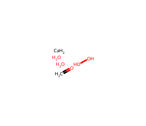 C=O.O.O.OO.[CaH2]